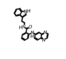 O=C(NCCc1c[nH]c2ccccc12)c1ccccc1Nc1ccc2nccnc2c1